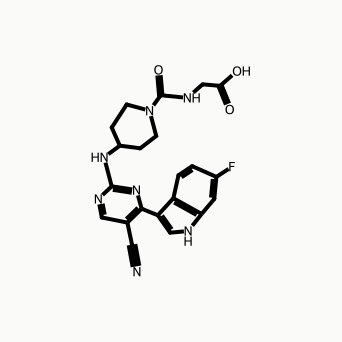 N#Cc1cnc(NC2CCN(C(=O)NCC(=O)O)CC2)nc1-c1c[nH]c2cc(F)ccc12